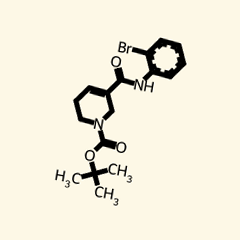 CC(C)(C)OC(=O)N1CCC=C(C(=O)Nc2ccccc2Br)C1